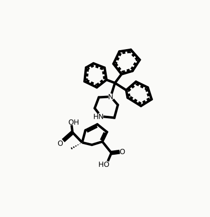 C[C@]1(C(=O)O)C=CC=C(C(=O)O)C1.c1ccc(C(c2ccccc2)(c2ccccc2)N2CCNCC2)cc1